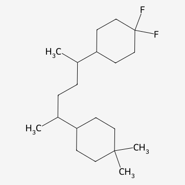 CC(CCC(C)C1CCC(F)(F)CC1)C1CCC(C)(C)CC1